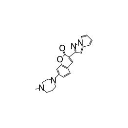 CN1CCCN(c2ccc3cc(-c4cc5ccccn5n4)c(=O)oc3c2)CC1